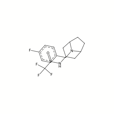 O=C(NC1CC2CCC(C1)N2Cc1ccc(F)cc1)C(F)(F)F